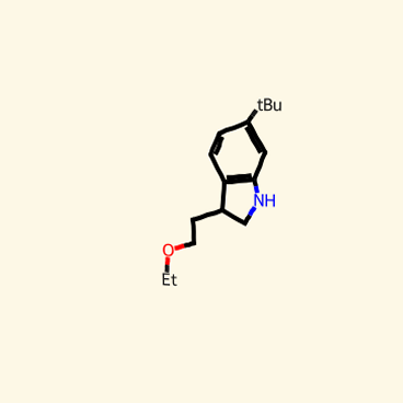 CCOCCC1CNc2cc(C(C)(C)C)ccc21